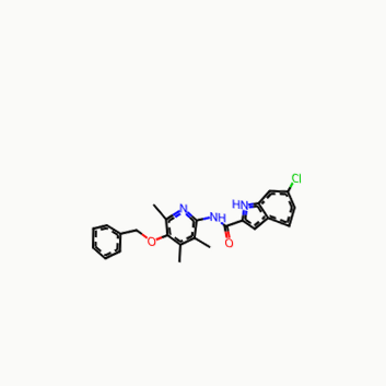 Cc1nc(NC(=O)c2cc3ccc(Cl)cc3[nH]2)c(C)c(C)c1OCc1ccccc1